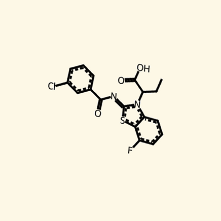 CCC(C(=O)O)n1/c(=N/C(=O)c2cccc(Cl)c2)sc2c(F)cccc21